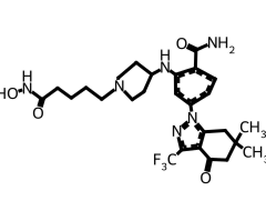 CC1(C)CC(=O)c2c(C(F)(F)F)nn(-c3ccc(C(N)=O)c(NC4CCN(CCCCC(=O)NO)CC4)c3)c2C1